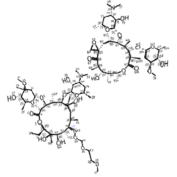 CC[C@H]1OC(=O)[C@H](C)[C@@H](O[C@H]2C[C@@](C)(OC)[C@@H](O)[C@H](C)O2)[C@H](C)[C@@H](O[C@@H]2O[C@H](C)C[C@H](N(C)C)[C@H]2O)[C@](C)(O)C[C@@H](C)/C(=N/OCOCCOC)[C@H](C)[C@@H](O)[C@]1(C)O.CO[C@H]1C[C@H](O[C@H]2[C@H](C)[C@@H](O[C@@H]3O[C@H](C)C[C@H](N(C)C)[C@H]3O)[C@@H](C)C[C@@]3(CO3)C(=O)[C@H](C)[C@@H](O)[C@@H](C)[C@@H](C)OC(=O)[C@@H]2C)O[C@@H](C)[C@@H]1O